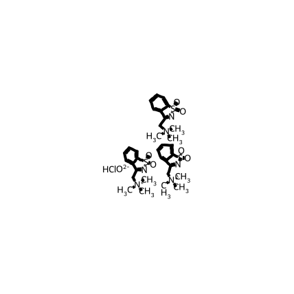 C[N+](C)(C)CC1=NS(=O)(=O)c2ccccc21.C[N+](C)(C)CC1=NS(=O)(=O)c2ccccc21.C[N+](C)(C)CC1=NS(=O)(=O)c2ccccc21.Cl.[O-2]